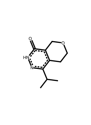 CC(C)c1n[nH]c(=O)c2c1CCOC2